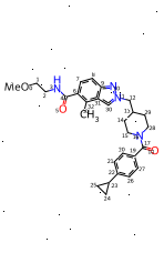 COCCNC(=O)c1ccc2nn(CC3CCN(C(=O)c4ccc(C5CC5)cc4)CC3)cc2c1C